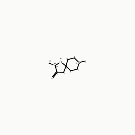 C=C1CC2(CCN(C)CC2)O[C@@H]1C